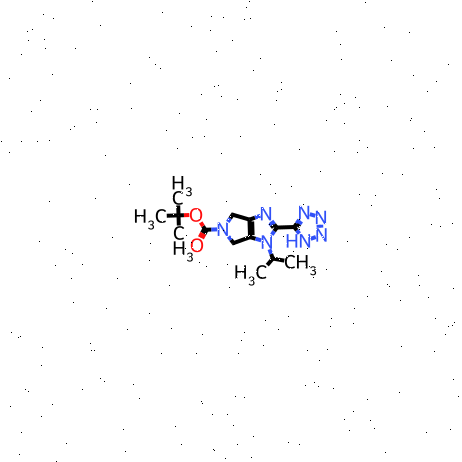 CC(C)n1c(-c2nnn[nH]2)nc2c1CN(C(=O)OC(C)(C)C)C2